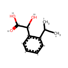 CC(C)c1ccccc1C(O)C(=O)O